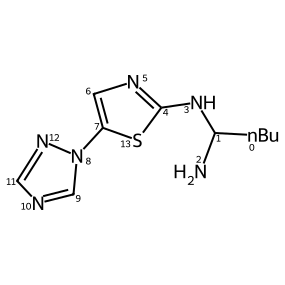 CCCCC(N)Nc1ncc(-n2cncn2)s1